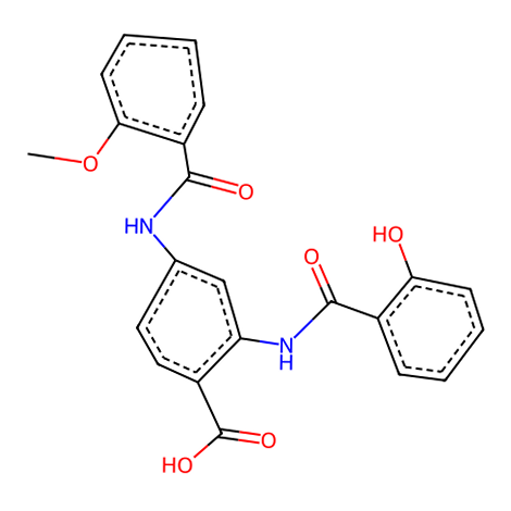 COc1ccccc1C(=O)Nc1ccc(C(=O)O)c(NC(=O)c2ccccc2O)c1